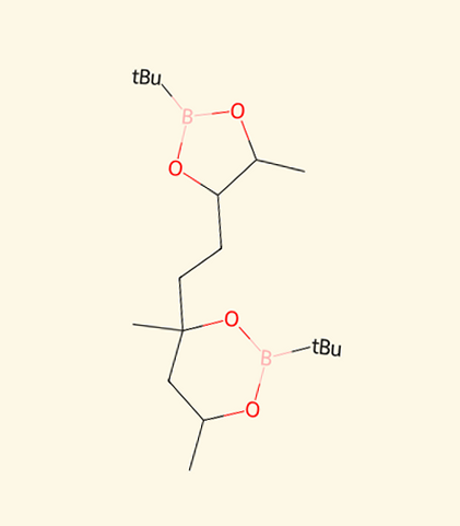 CC1CC(C)(CCC2OB(C(C)(C)C)OC2C)OB(C(C)(C)C)O1